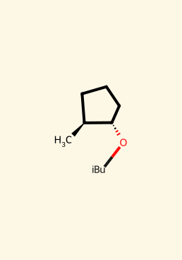 CCC(C)O[C@H]1CCC[C@@H]1C